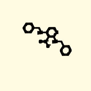 O=[N+]([O-])c1c(NCc2ccccc2)ccnc1NCc1ccccc1